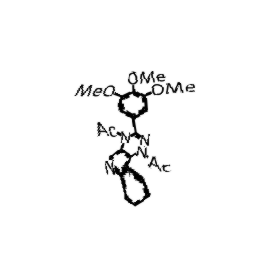 COc1cc(C2=NN(C(C)=O)c3c(cnc4ccccc34)N2C(C)=O)cc(OC)c1OC